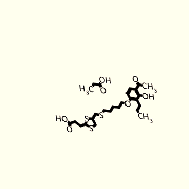 CCC(=O)O.CCCc1c(OCCCCCSCC2CSC(CCC(=O)O)S2)ccc(C(C)=O)c1O